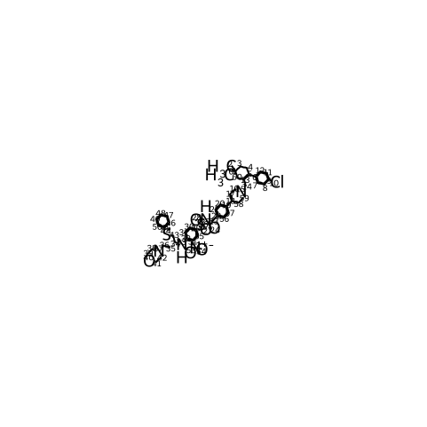 CC1(C)CCC(c2ccc(Cl)cc2)=C(CN2CC=C(c3ccc(C(=O)NS(=O)(=O)c4ccc(N[C@H](CCN5CCOCC5)CSc5ccccc5)c([N+](=O)[O-])c4)cc3)CC2)C1